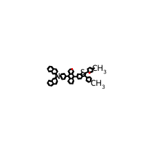 Cc1ccc(-c2sc3cc(-c4c5ccccc5c(-c5ccc(N(c6ccc7ccccc7c6)c6ccc7ccccc7c6)cc5)c5ccccc45)ccc3c2-c2ccc(C)cc2)cc1